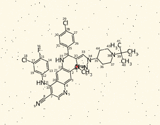 COc1cc2ncc(C#N)c(Nc3ccc(F)c(Cl)c3)c2cc1NC(c1ccc(Cl)cc1)c1cn(C2CCN(C(C)(C)C)CC2)nn1